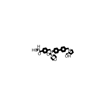 O=C(NO)c1ccc(CN(C(=O)N2CCOCC2)c2ccc(-c3ccc(CN4CCC[C@H]4CO)cc3)cc2)cc1